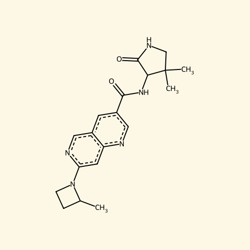 CC1CCN1c1cc2ncc(C(=O)NC3C(=O)NCC3(C)C)cc2cn1